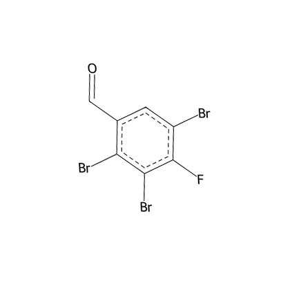 O=Cc1cc(Br)c(F)c(Br)c1Br